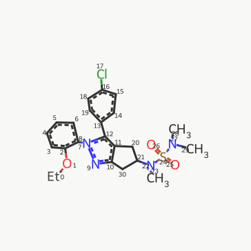 CCOc1ccccc1-n1nc2c(c1-c1ccc(Cl)cc1)CC(N(C)S(=O)(=O)N(C)C)C2